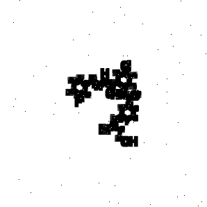 CCN(CCO)Cc1cccc(C(=O)Nc2ccc(Cl)cc2C(=O)N/N=C/c2cccc(F)c2)c1